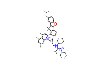 Cc1cc(C)c2c(C)cc3[n+](c2c1)C1C(CN(/C(C(C)C)=[N+](\C)C2CCCCC2)C2CCCCC2)C1c1ccc2c(c1-3)C(C)(C)c1c-2oc2ccc(CC(C)C)cc12